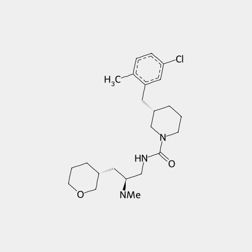 CN[C@H](CNC(=O)N1CCC[C@@H](Cc2cc(Cl)ccc2C)C1)C[C@H]1CCCOC1